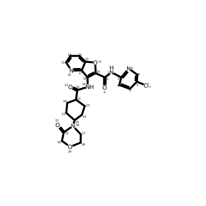 O=C(Nc1ccc(Cl)cn1)c1oc2cccnc2c1NC(=O)C1CCC(N2CCOCC2=O)CC1